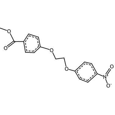 COC(=O)c1ccc(OCCOc2ccc([N+](=O)[O-])cc2)cc1